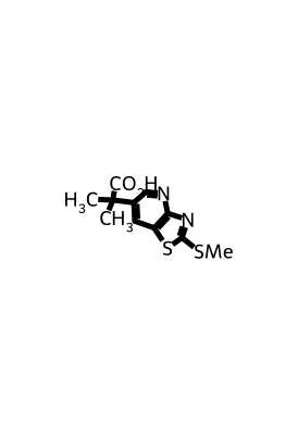 CSc1nc2ncc(C(C)(C)C(=O)O)cc2s1